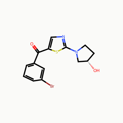 O=C(c1cccc(Br)c1)c1cnc(N2CC[C@H](O)C2)s1